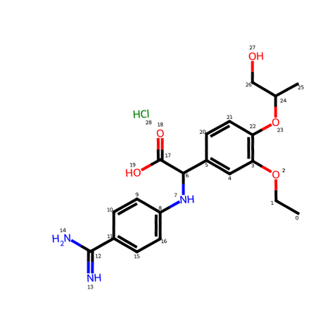 CCOc1cc(C(Nc2ccc(C(=N)N)cc2)C(=O)O)ccc1OC(C)CO.Cl